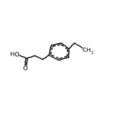 [CH2]Cc1ccc(CCC(=O)O)cc1